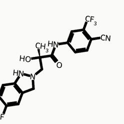 C[C@](O)(CN1Cc2cc(F)ccc2N1)C(=O)Nc1ccc(C#N)c(C(F)(F)F)c1